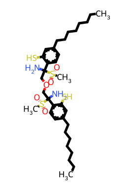 CCCCCCCCc1ccc(C(N)(COCC(N)(c2ccc(CCCCCCCC)cc2S)S(C)(=O)=O)S(C)(=O)=O)c(S)c1